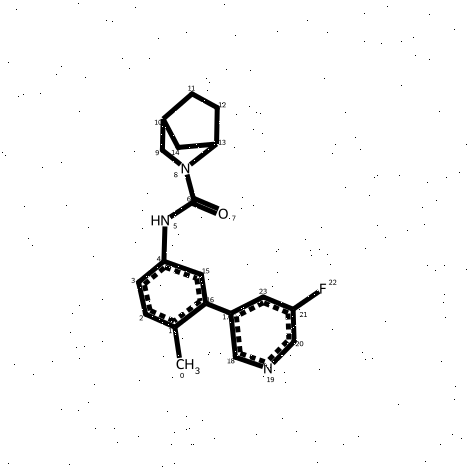 Cc1ccc(NC(=O)N2CC3CCC2C3)cc1-c1cncc(F)c1